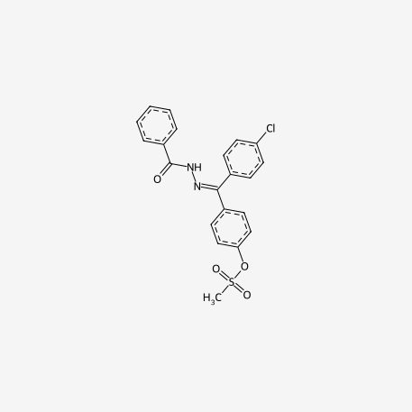 CS(=O)(=O)Oc1ccc(C(=NNC(=O)c2ccccc2)c2ccc(Cl)cc2)cc1